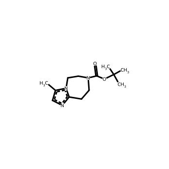 Cc1cnc2n1CCN(C(=O)OC(C)(C)C)CC2